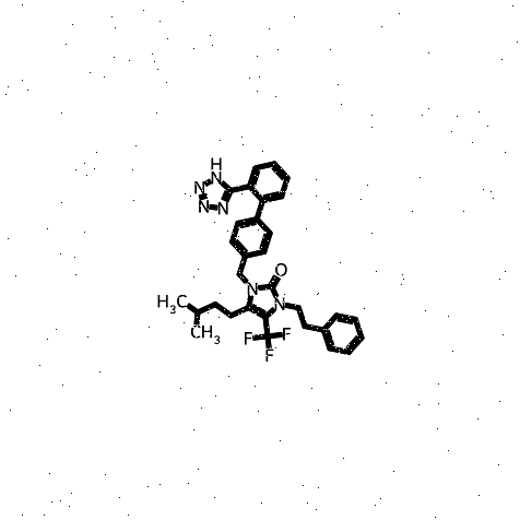 CC(C)CCc1c(C(F)(F)F)n(CCc2ccccc2)c(=O)n1Cc1ccc(-c2ccccc2-c2nnn[nH]2)cc1